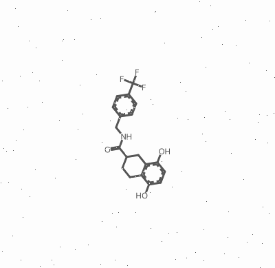 O=C(NCc1ccc(C(F)(F)F)cc1)C1CCc2c(O)ccc(O)c2C1